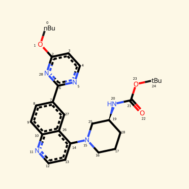 CCCCOc1ccnc(-c2ccc3nccc(N4CCC[C@H](NC(=O)OC(C)(C)C)C4)c3c2)n1